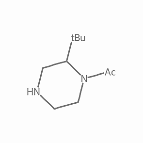 CC(=O)N1CCNCC1C(C)(C)C